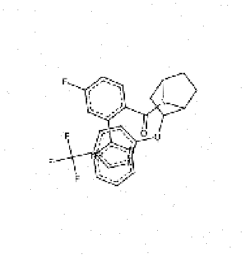 O=C(c1ccc(F)cc1-c1ncccn1)N1C2CCC1C(Oc1ccc(C(F)(F)F)cn1)C2